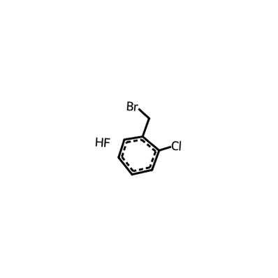 Clc1ccccc1CBr.F